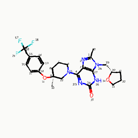 Cc1nc2c(N3CCC[C@](C)(Oc4ccc(C(F)(F)F)cc4)C3)nc(=O)[nH]c2n1C[C@@H]1CCCO1